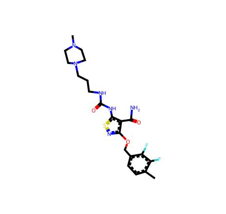 Cc1ccc(COc2nsc(NC(=O)NCCCN3CCN(C)CC3)c2C(N)=O)c(F)c1F